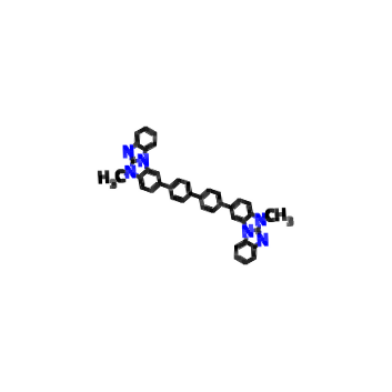 Cn1c2ccc(-c3ccc(-c4ccc(-c5ccc6c(c5)n5c7ccccc7nc5n6C)cc4)cc3)cc2n2c3ccccc3nc12